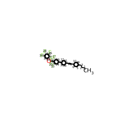 CCCCc1ccc(C#Cc2ccc(-c3cc(F)c(C(F)(F)Oc4cc(F)c(F)c(F)c4)c(F)c3)cc2)cc1